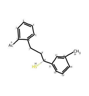 CC(=O)c1ccccc1CC[C@@H](S)c1cccc(C)c1